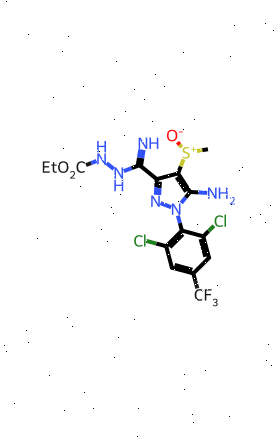 CCOC(=O)NNC(=N)c1nn(-c2c(Cl)cc(C(F)(F)F)cc2Cl)c(N)c1[S+](C)[O-]